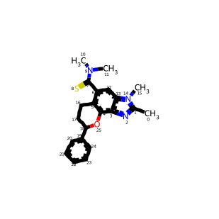 Cc1nc2c3c(c(C(=S)N(C)C)cc2n1C)CCC(c1ccccc1)O3